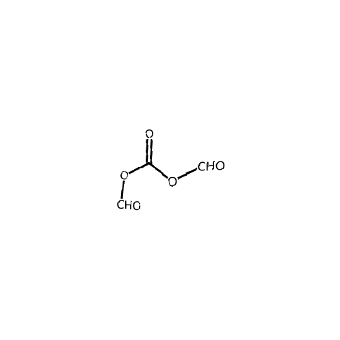 O=COC(=O)OC=O